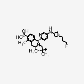 Cc1c(B(O)O)ccc2c1C[C@@H](C)N(CC(C)(F)F)[C@@H]2c1ccc(NC2CN(CCCF)C2)cn1